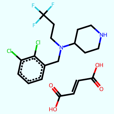 FC(F)(F)CCN(Cc1cccc(Cl)c1Cl)C1CCNCC1.O=C(O)C=CC(=O)O